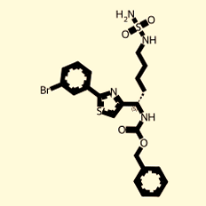 NS(=O)(=O)NCCCC[C@H](NC(=O)OCc1ccccc1)c1csc(-c2cccc(Br)c2)n1